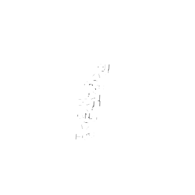 O=C(O)c1ccc2c(c1)C(=O)N(c1ccc(-c3ccc(N4C(=O)c5ccc(C(=O)O)cc5C4=O)cc3C(F)(F)F)c(C(F)(F)F)c1)C2=O